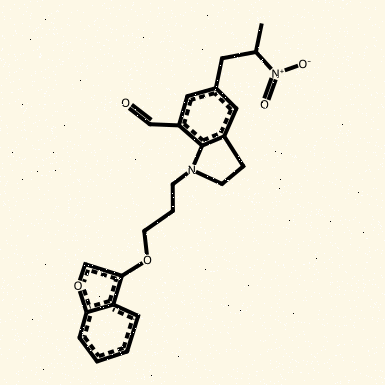 CC(Cc1cc(C=O)c2c(c1)CCN2CCCOc1coc2ccccc12)[N+](=O)[O-]